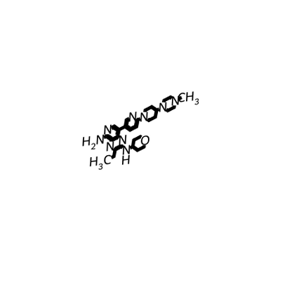 CCc1nc2c(N)ncc(-c3ccc(N4CCC(N5CCN(C)CC5)CC4)nc3)c2nc1NC1CCOCC1